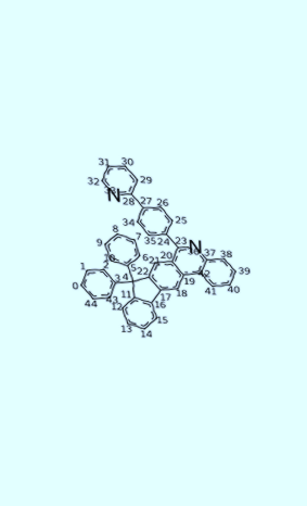 c1ccc(C2(c3ccccc3)c3ccccc3-c3cc4c(cc32)c(-c2ccc(-c3ccccn3)cc2)nc2ccccc24)cc1